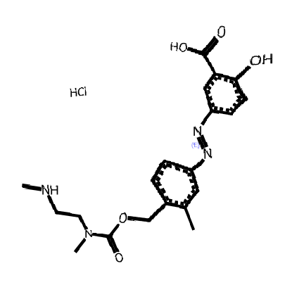 CNCCN(C)C(=O)OCc1ccc(/N=N/c2ccc(O)c(C(=O)O)c2)cc1C.Cl